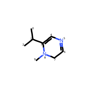 CC(C)C1=CN=CCN1C